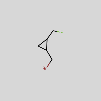 FCC1CC1CBr